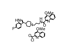 COc1cc(C(=O)Cl)nc2ccccc12.COc1cc(C(=O)NCCCN2CCC(c3c[nH]c4cc(F)ccc34)CC2)nc2ccccc12